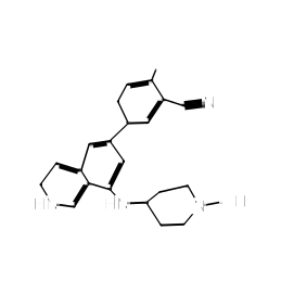 N#CC1=CC(c2cc(NC3CCN(O)CC3)c3c(c2)=CCNC=3)CC=C1F